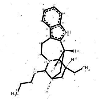 CCCOC1[C@@H]2C[C@H](CC)[C@H]3[C@@H](C2)c2[nH]c4ccccc4c2CCN13